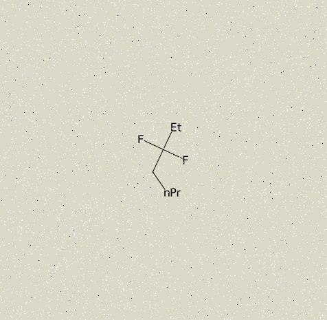 C[CH]CCC(F)(F)CC